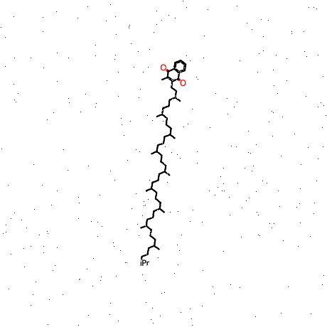 CC1=C(CCC(C)CCCC(C)CCCC(C)CCCC(C)CCCC(C)CCCC(C)CCCC(C)CCCC(C)CCCC(C)CCCC(C)C)C(=O)c2ccccc2C1=O